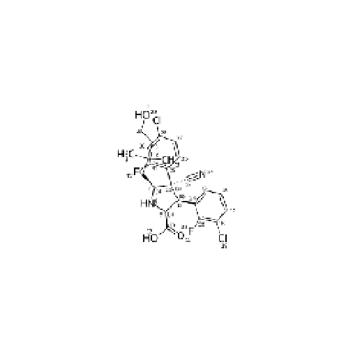 CC(C)(CCO)C[C@@H]1N[C@H](C(=O)O)[C@H](c2cccc(Cl)c2F)[C@]1(C#N)c1ccc(Cl)cc1F